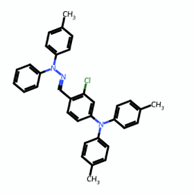 Cc1ccc(N(N=Cc2ccc(N(c3ccc(C)cc3)c3ccc(C)cc3)cc2Cl)c2ccccc2)cc1